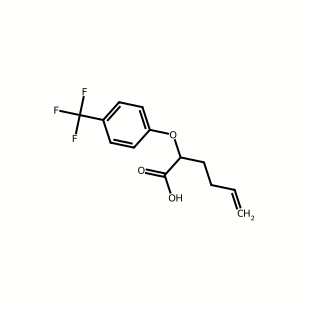 C=CCCC(Oc1ccc(C(F)(F)F)cc1)C(=O)O